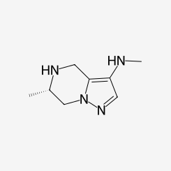 CNc1cnn2c1CN[C@@H](C)C2